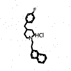 Cl.Fc1ccc(CC2CCN(CCc3ccc4ccccc4c3)CC2)cc1